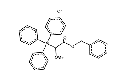 COC(C(=O)OCc1ccccc1)[P+](c1ccccc1)(c1ccccc1)c1ccccc1.[Cl-]